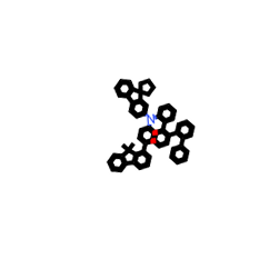 CC1(C)c2ccccc2-c2cccc(-c3ccc(N(c4ccc5c(c4)C4(CCCC4)c4ccccc4-5)c4ccccc4-c4ccccc4-c4ccccc4-c4ccccc4)cc3)c21